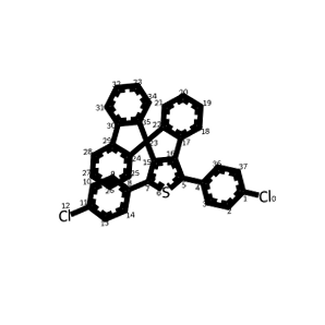 Clc1ccc(-c2sc(-c3ccc(Cl)cc3)c3c2-c2ccccc2C32c3ccccc3-c3ccccc32)cc1